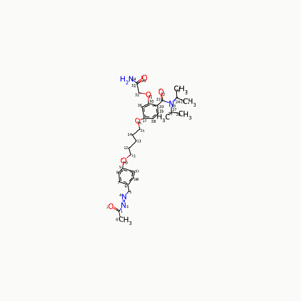 CC(=O)N=NCc1ccc(OCCCCCOc2ccc(C(=O)N(C(C)C)C(C)C)c(OCC(N)=O)c2)cc1